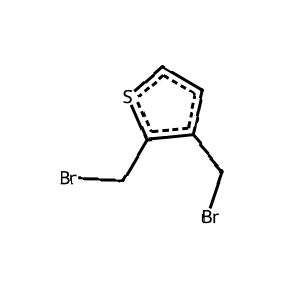 BrCc1ccsc1CBr